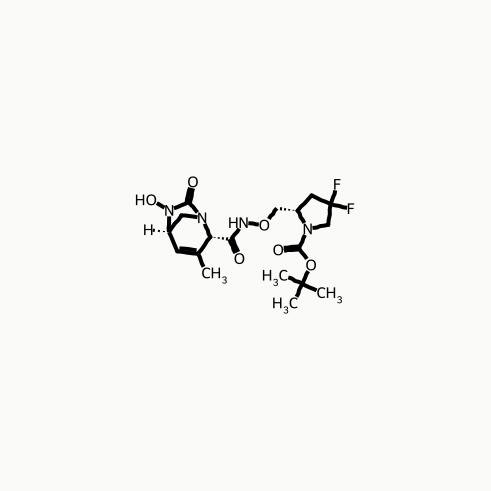 CC1=C[C@@H]2CN(C(=O)N2O)[C@@H]1C(=O)NOC[C@@H]1CC(F)(F)CN1C(=O)OC(C)(C)C